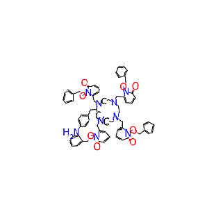 Nc1ccc(CC2CN(Cc3cccc(=O)n3OCc3ccccc3)CCN(Cc3cccc(=O)n3OCc3ccccc3)CCN(Cc3cccc(=O)n3OCc3ccccc3)CCN2Cc2cccc(=O)n2OCc2ccccc2)cc1